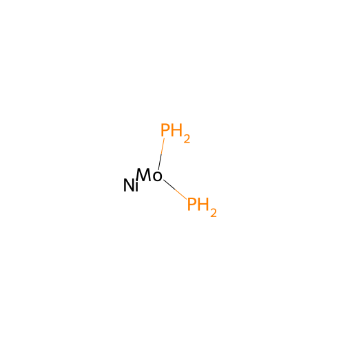 [Ni].[PH2][Mo][PH2]